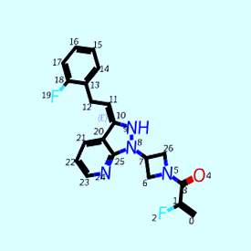 C=C(F)C(=O)N1CC(N2N/C(=C/Cc3ccccc3F)c3cccnc32)C1